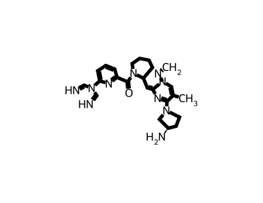 C=NN1C=C(C)C(N2CC[C@H](N)C2)=N/C1=C/C1CCCCN1C(=O)c1cccc(N(C=N)C=N)n1